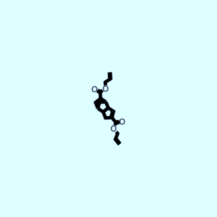 C=CCOC(=O)C1=CC2C3CC(C=C3C(=O)OCC=C)C2C1